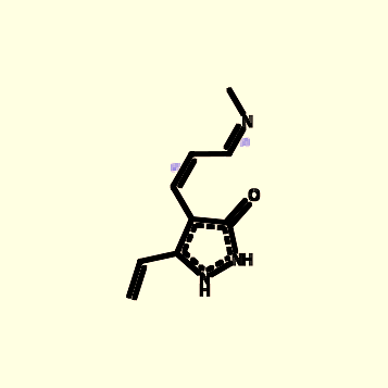 C=Cc1[nH][nH]c(=O)c1/C=C\C=N/C